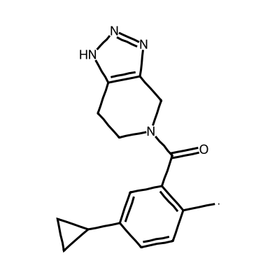 [CH2]c1ccc(C2CC2)cc1C(=O)N1CCc2[nH]nnc2C1